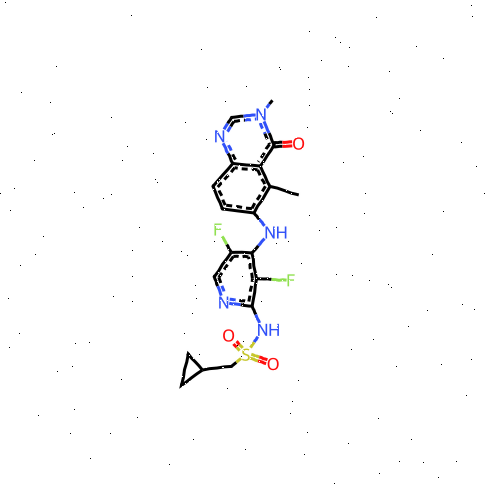 Cc1c(Nc2c(F)cnc(NS(=O)(=O)CC3CC3)c2F)ccc2ncn(C)c(=O)c12